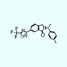 Cc1ccc([C@H](C)N2Cc3ccc(-c4noc(C(F)(F)F)n4)cc3C2=O)cc1